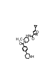 C[C@@H]1C[C@H](NC(=O)c2cc(C3CC3)on2)CCN1C(=O)c1ccc(C2CCCNC2)cc1